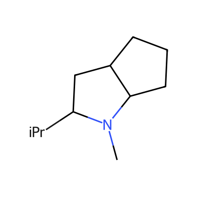 CC(C)C1CC2CCCC2N1C